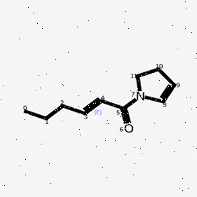 CCC/C=C/C(=O)N1C=CCC1